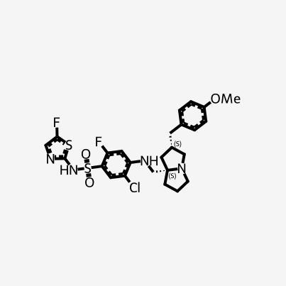 COc1ccc(C[C@@H]2CN3CCC[C@@]3(CNc3cc(F)c(S(=O)(=O)Nc4ncc(F)s4)cc3Cl)C2)cc1